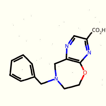 O=C(O)c1cnc2c(n1)OCCN(Cc1ccccc1)C2